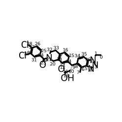 CCn1nnc2c(C)c([C@H](CC(=O)O)c3ccc4c(c3)CN(C(=O)c3ccc(Cl)c(Cl)c3)CC4)ccc21